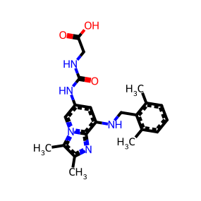 Cc1cccc(C)c1CNc1cc(NC(=O)NCC(=O)O)cn2c(C)c(C)nc12